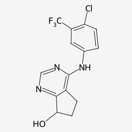 OC1CCc2c(Nc3ccc(Cl)c(C(F)(F)F)c3)ncnc21